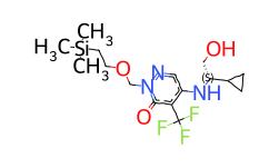 C[Si](C)(C)CCOCn1ncc(N[C@H](CO)C2CC2)c(C(F)(F)F)c1=O